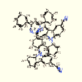 N#Cc1ccc2c(c1)c1ccccc1n2-c1ccccc1-c1cc(-c2nc(-c3ccccc3)cc(-c3ccccc3)n2)ccc1-n1c2ccccc2c2cc(C#N)ccc21